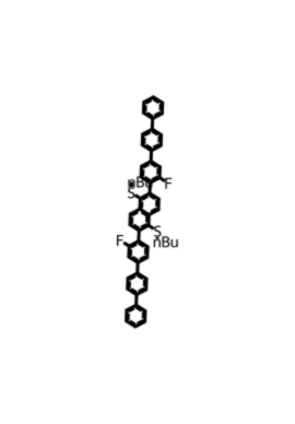 CCCCSc1c(-c2ccc(-c3ccc(-c4ccccc4)cc3)cc2F)ccc2c(SCCCC)c(-c3ccc(-c4ccc(-c5ccccc5)cc4)cc3F)ccc12